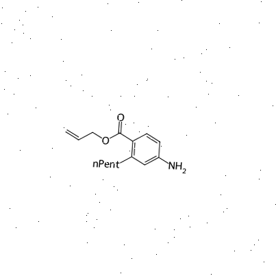 C=CCOC(=O)c1ccc(N)cc1CCCCC